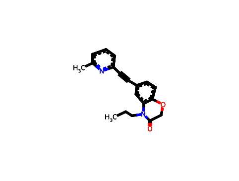 CCCN1C(=O)COc2ccc(C#Cc3cccc(C)n3)cc21